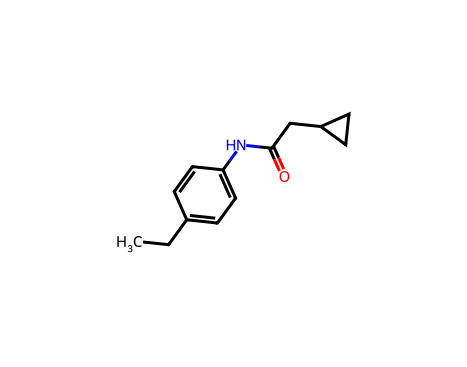 CCc1ccc(NC(=O)CC2CC2)cc1